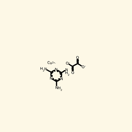 Nc1nc(N)nc(N)n1.O=C([O-])C(=O)[O-].[Cu+2]